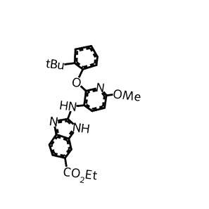 CCOC(=O)c1ccc2nc(Nc3ccc(OC)nc3Oc3ccccc3C(C)(C)C)[nH]c2c1